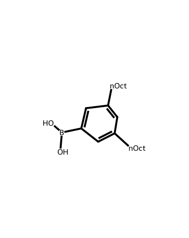 CCCCCCCCc1cc(CCCCCCCC)cc(B(O)O)c1